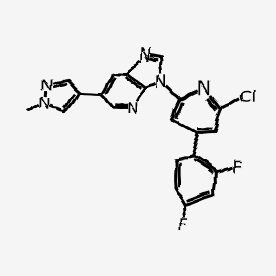 Cn1cc(-c2cnc3c(c2)ncn3-c2cc(-c3ccc(F)cc3F)cc(Cl)n2)cn1